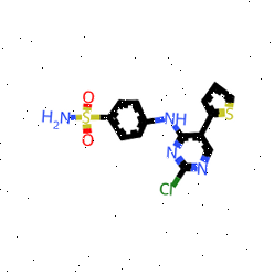 NS(=O)(=O)c1ccc(Nc2nc(Cl)ncc2-c2cccs2)cc1